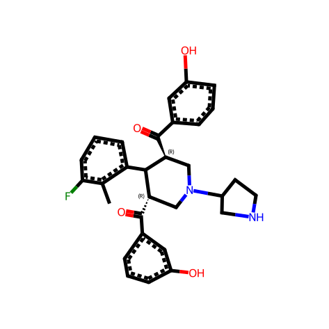 Cc1c(F)cccc1C1[C@@H](C(=O)c2cccc(O)c2)CN(C2CCNC2)C[C@@H]1C(=O)c1cccc(O)c1